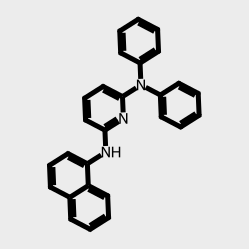 c1ccc(N(c2ccccc2)c2cccc(Nc3cccc4ccccc34)n2)cc1